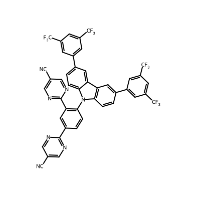 N#Cc1cnc(-c2ccc(-n3c4ccc(-c5cc(C(F)(F)F)cc(C(F)(F)F)c5)cc4c4cc(-c5cc(C(F)(F)F)cc(C(F)(F)F)c5)ccc43)c(-c3ncc(C#N)cn3)c2)nc1